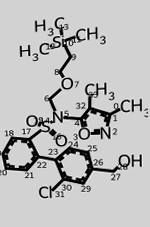 Cc1noc(N(COCC[Si](C)(C)C)S(=O)(=O)c2ccccc2-c2ccc(CO)cc2Cl)c1C